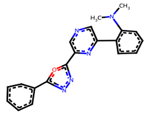 CN(C)c1ccccc1-c1cncc(-c2nnc(-c3ccccc3)o2)n1